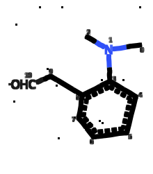 CN(C)c1ccccc1C[C]=O